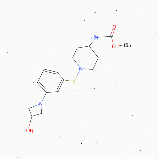 CC(C)(C)OC(=O)NC1CCN(Sc2cccc(N3CC(O)C3)c2)CC1